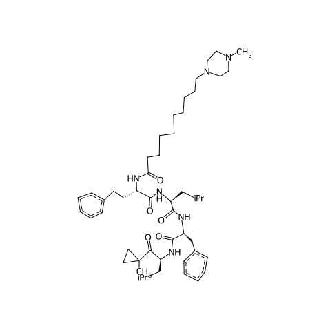 CC(C)C[C@H](NC(=O)[C@H](CCc1ccccc1)NC(=O)CCCCCCCCCN1CCN(C)CC1)C(=O)N[C@@H](Cc1ccccc1)C(=O)N[C@@H](CC(C)C)C(=O)C1(C)CC1